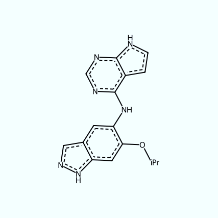 CC(C)Oc1cc2[nH]ncc2cc1Nc1ncnc2[nH]ccc12